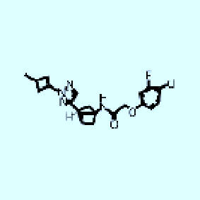 CC1CC(n2ncc([C@H]3CC4(NC(=O)COc5ccc(Cl)c(F)c5)CC3C4)n2)C1